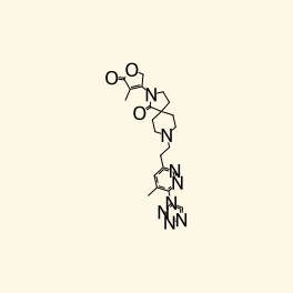 CC1=C(N2CCC3(CCN(CCc4cc(C)c(-n5cnnn5)nn4)CC3)C2=O)COC1=O